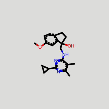 COc1ccc2c(c1)C(O)(CNc1nc(C3CC3)nc(C)c1C)CC2